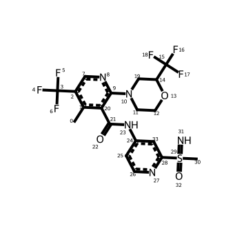 Cc1c(C(F)(F)F)cnc(N2CCOC(C(F)(F)F)C2)c1C(=O)Nc1ccnc(S(C)(=N)=O)c1